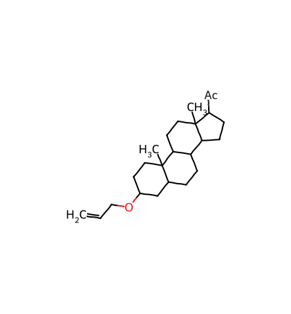 C=CCOC1CCC2(C)C(CCC3C2CCC2(C)C(C(C)=O)CCC32)C1